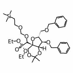 CCOP(=O)(OCC)C(OCOCC[Si](C)(C)C)[C@]12COC(C)(C)O[C@H]1[C@H](OCc1ccccc1)[C@@H](COCc1ccccc1)O2